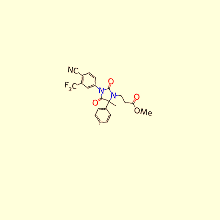 COC(=O)CCN1C(=O)N(c2ccc(C#N)c(C(F)(F)F)c2)C(=O)C1(C)c1cc[c]cc1